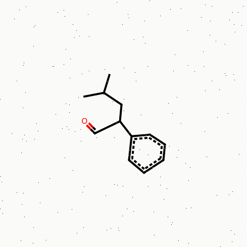 C[C](C)CC(C=O)c1ccccc1